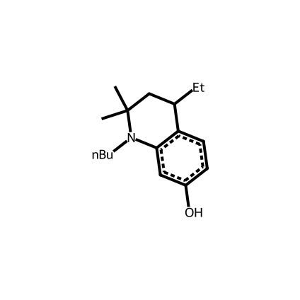 CCCCN1c2cc(O)ccc2C(CC)CC1(C)C